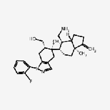 C=C1CC[C@H]2[C@H](CN)[C@@H]([C@@]3(C)Cc4cnn(-c5ccccc5F)c4C[C@@H]3CO)CC[C@]12C